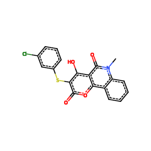 Cn1c(=O)c2c(O)c(Sc3cccc(Cl)c3)c(=O)oc2c2ccccc21